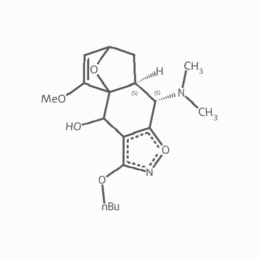 CCCCOc1noc2c1C(O)C13OC(C=C1OC)C[C@H]3[C@@H]2N(C)C